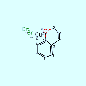 C1=Cc2ccccc2OC1.[Br-].[Br-].[Cu+2]